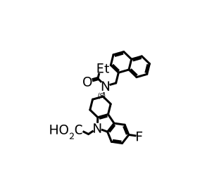 CCC(=O)N(Cc1cccc2ccccc12)[C@H]1CCc2c(c3cc(F)ccc3n2CC(=O)O)C1